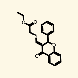 CCOC(=O)CSC=C1C(=O)c2ccccc2OC1c1ccccc1